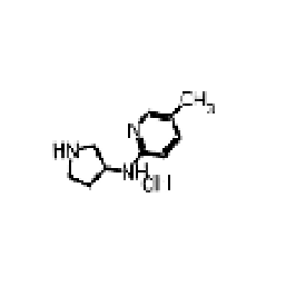 Cc1ccc(NC2CCNC2)nc1.Cl